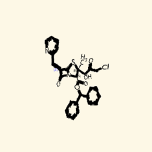 C[C@@]1(C(O)C(=O)CCl)SC2/C(=C\c3ccccn3)C(=O)N2[C@H]1C(=O)OC(c1ccccc1)c1ccccc1